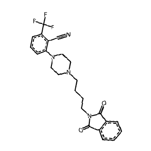 N#Cc1c(N2CCN(CCCCN3C(=O)c4ccccc4C3=O)CC2)cccc1C(F)(F)F